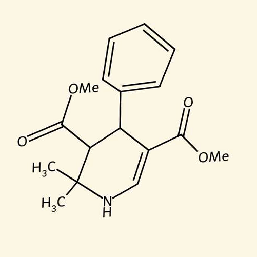 COC(=O)C1=CNC(C)(C)C(C(=O)OC)C1c1ccccc1